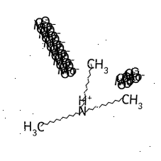 CCCCCCCCCCCCC[NH+](CCCCCCCCCCCCC)CCCCCCCCCCCCC.[O]=[Mo](=[O])([O-])[O-].[O]=[Mo](=[O])([O-])[O-].[O]=[Mo](=[O])([O-])[O-].[O]=[Mo](=[O])([O-])[O-].[O]=[Mo](=[O])([O-])[O-].[O]=[Mo](=[O])([O-])[O-].[O]=[Mo](=[O])([O-])[O-].[O]=[Mo](=[O])([O-])[O-]